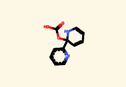 O=C(O)OC1(c2ccccn2)C=CC=CN1